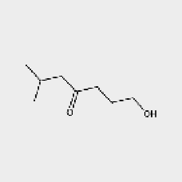 CC(C)CC(=O)CCCO